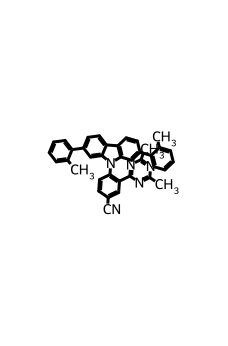 Cc1nc(C)nc(-c2cc(C#N)ccc2-n2c3cc(-c4ccccc4C)ccc3c3ccc(-c4ccccc4C)cc32)n1